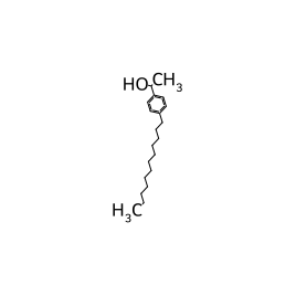 CCCCCCCCCCCCc1ccc(C(C)O)cc1